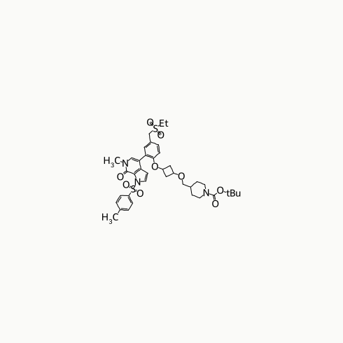 CCS(=O)(=O)Cc1ccc(OC2CC(OCC3CCN(C(=O)OC(C)(C)C)CC3)C2)c(-c2cn(C)c(=O)c3c2ccn3S(=O)(=O)c2ccc(C)cc2)c1